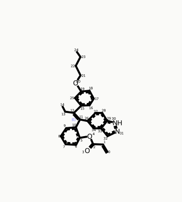 C=CC(=O)Oc1ccccc1/C(=C(\CC)c1cccc(OCCCC)c1)c1ccc2[nH]ncc2c1